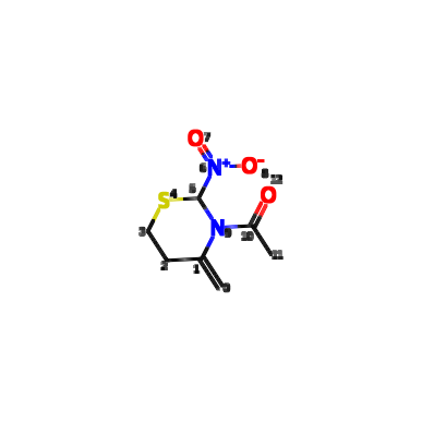 C=C1CCSC([N+](=O)[O-])N1C(C)=O